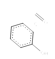 C=O.Oc1ccccc1.[C]